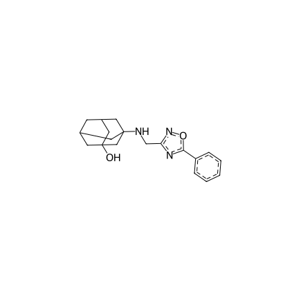 OC12CC3CC(C1)CC(NCc1noc(-c4ccccc4)n1)(C3)C2